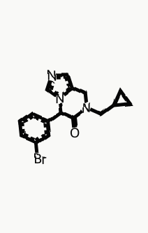 O=C1C(c2cccc(Br)c2)n2cncc2CN1CC1CC1